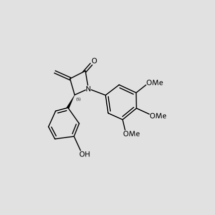 C=C1C(=O)N(c2cc(OC)c(OC)c(OC)c2)[C@H]1c1cccc(O)c1